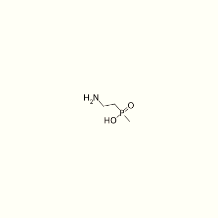 CP(=O)(O)CCN